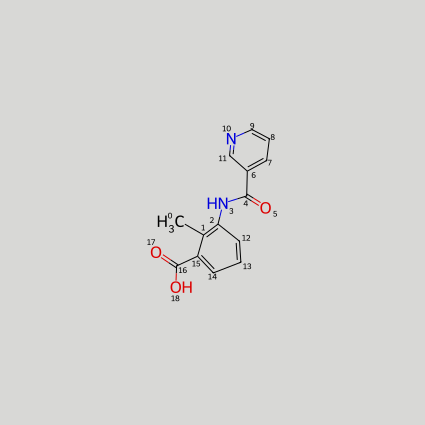 Cc1c(NC(=O)c2cccnc2)cccc1C(=O)O